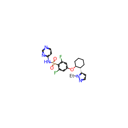 CCn1nccc1[C@H]1CCCC[C@@H]1Oc1cc(F)c(S(=O)(=O)Nc2ccncn2)c(F)c1